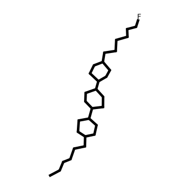 CCCCCCC1CCC(C2CCC(C3CCC(CCCCCCF)CC3)CC2)CC1